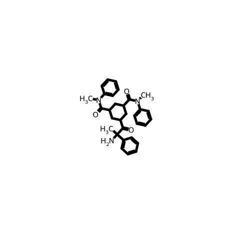 CN(C(=O)C1CC(C(=O)N(C)c2ccccc2)CC(C(=O)C(C)(N)c2ccccc2)C1)c1ccccc1